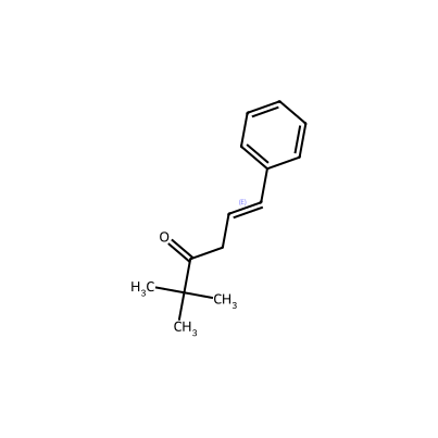 CC(C)(C)C(=O)C/C=C/c1ccccc1